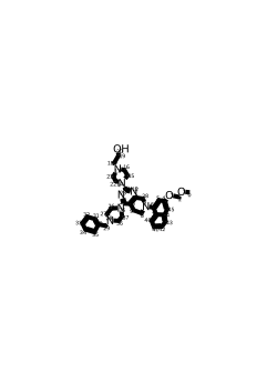 COCOc1cc(N2CCc3c(nc(N4CCN(CCO)CC4)nc3N3CCN(Cc4ccccc4)CC3)C2)c2ccccc2c1